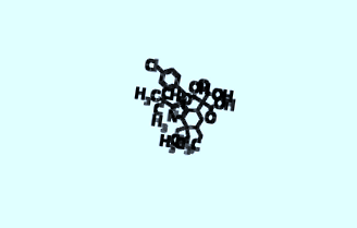 CCC1CC(C(C(=O)O)(C(=O)O)C(=O)O)c2c(nc(C(C)(C)C)n2Cc2ccc(Cl)cc2)C1(CC)CC